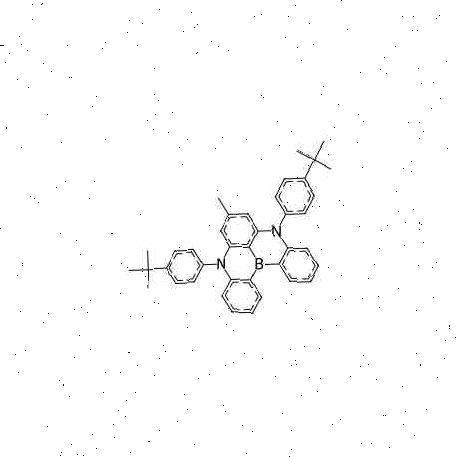 Cc1cc2c3c(c1)N(c1ccc(C(C)(C)C)cc1)c1ccccc1B3c1ccccc1N2c1ccc(C(C)(C)C)cc1